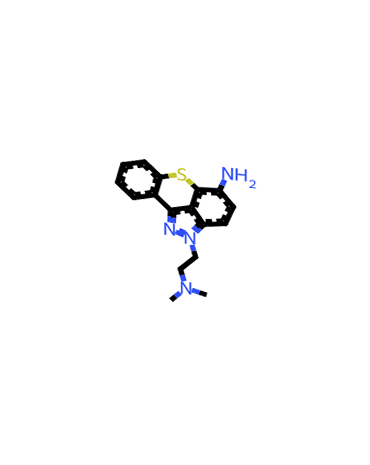 CN(C)CCn1nc2c3c(c(N)ccc31)Sc1ccccc1-2